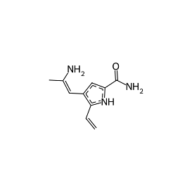 C=Cc1[nH]c(C(N)=O)cc1/C=C(/C)N